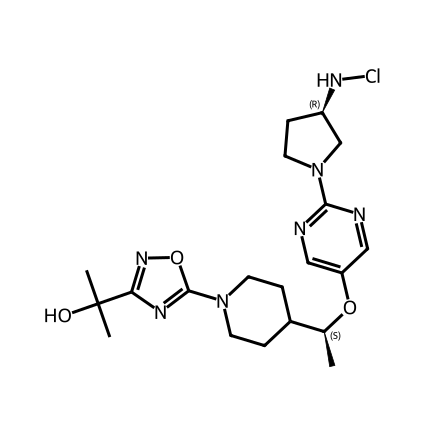 C[C@H](Oc1cnc(N2CC[C@@H](NCl)C2)nc1)C1CCN(c2nc(C(C)(C)O)no2)CC1